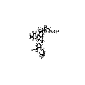 CSc1ccc(NC(=O)c2ccc(NS(=O)(=O)CCO)cc2N2CCC3(CC2)CC3)nc1N1CCC(F)(F)CC1